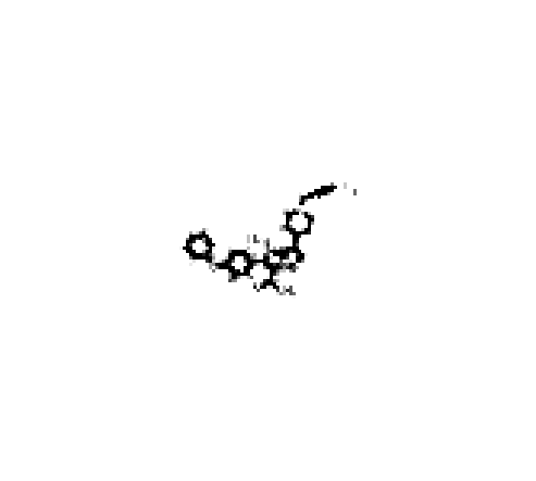 CC#CCN1CCC(c2cnn3c(C(N)=O)c(-c4ccc(Oc5ccccc5)cc4)n(C)c23)CC1